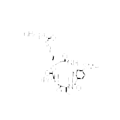 C/C=C1\NC(=O)c2ccc(SC)c(n2)CNC(=O)C[C@@H](/C=C/CCSC(=O)CCCCCCC)OC(=O)[C@H](C(C)C)NC1=O